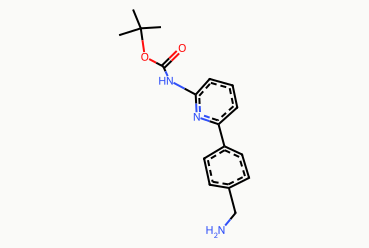 CC(C)(C)OC(=O)Nc1cccc(-c2ccc(CN)cc2)n1